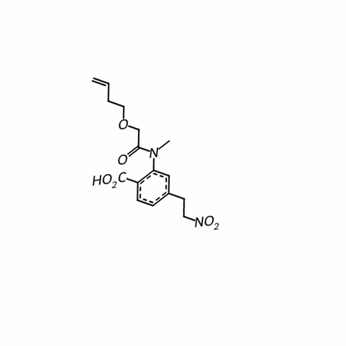 C=CCCOCC(=O)N(C)c1cc(CC[N+](=O)[O-])ccc1C(=O)O